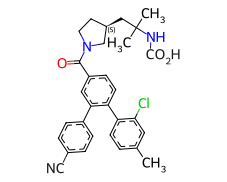 Cc1ccc(-c2ccc(C(=O)N3CC[C@@H](CC(C)(C)NC(=O)O)C3)cc2-c2ccc(C#N)cc2)c(Cl)c1